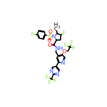 CC1C(F)CC(C(=O)NCc2cc(-c3cnc(C(F)(F)F)nc3)ncc2OCC(F)(F)F)N1S(=O)(=O)c1ccc(F)cc1